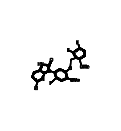 COc1cc(F)c(-n2c(=O)[nH]c3ccc(Cl)nc32)cc1OCc1c(OC)ccc(F)c1F